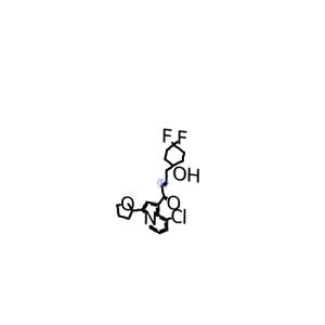 O=C(/C=C/CC1(O)CCC(F)(F)CC1)c1cc(C2CCCO2)n2cccc(Cl)c12